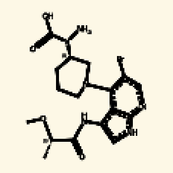 CO[C@@H](C)C(=O)Nc1c[nH]c2ncc(Br)c(N3CCC[C@@H](N(N)C(=O)O)C3)c12